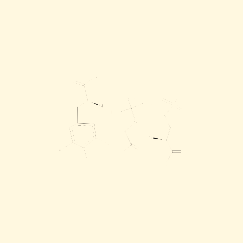 CC(C)(C)NCC(=O)O.CS(=O)(=O)CC[C@H](N)C(=O)O.N[C@@H](Cc1cc(Br)c(O)c(Br)c1)C(=O)O